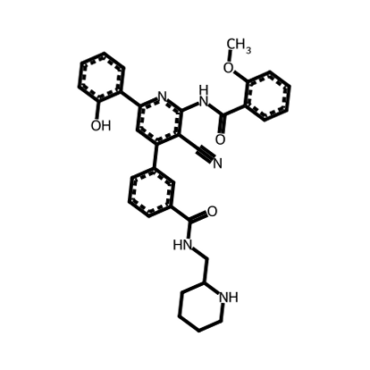 COc1ccccc1C(=O)Nc1nc(-c2ccccc2O)cc(-c2cccc(C(=O)NCC3CCCCN3)c2)c1C#N